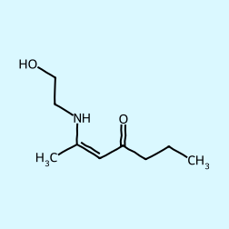 CCCC(=O)/C=C(/C)NCCO